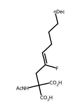 CCCCCCCCCCCCCC=C(F)CC(NC(C)=O)(C(=O)O)C(=O)O